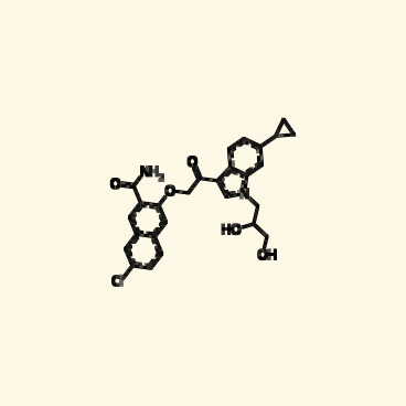 NC(=O)c1cc2cc(Cl)ccc2cc1OCC(=O)c1cn(CC(O)CO)c2cc(C3CC3)ccc12